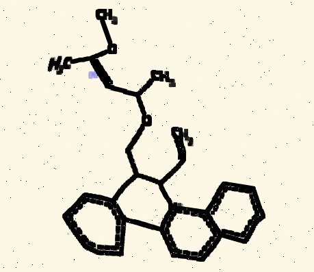 C=CC1C(COC(C)/C=C(/C)OC)c2ccccc2-c2ccc3ccccc3[n+]21